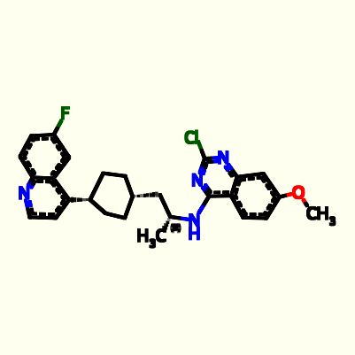 COc1ccc2c(N[C@H](C)C[C@H]3CC[C@@H](c4ccnc5ccc(F)cc54)CC3)nc(Cl)nc2c1